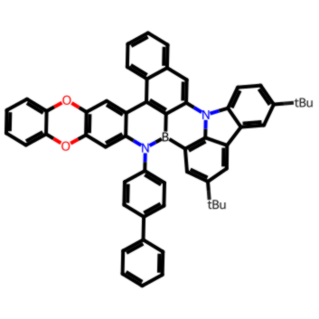 CC(C)(C)c1ccc2c(c1)c1cc(C(C)(C)C)cc3c1n2-c1cc2ccccc2c2c1B3N(c1ccc(-c3ccccc3)cc1)c1cc3c(cc1-2)Oc1ccccc1O3